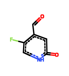 O=Cc1cc(=O)[nH]cc1F